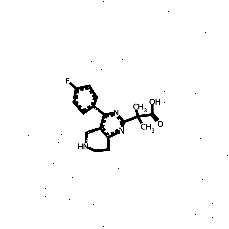 CC(C)(C(=O)O)c1nc2c(c(-c3ccc(F)cc3)n1)CNCC2